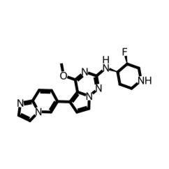 COc1nc(N[C@@H]2CCNC[C@@H]2F)nn2ccc(-c3ccc4nccn4c3)c12